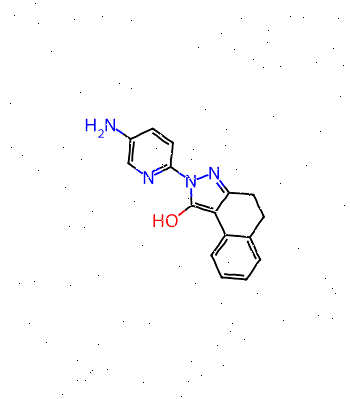 Nc1ccc(-n2nc3c(c2O)-c2ccccc2CC3)nc1